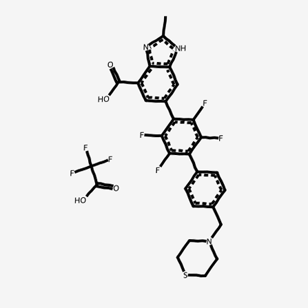 Cc1nc2c(C(=O)O)cc(-c3c(F)c(F)c(-c4ccc(CN5CCSCC5)cc4)c(F)c3F)cc2[nH]1.O=C(O)C(F)(F)F